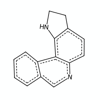 c1ccc2c(c1)cnc1ccc3c(c12)NCC3